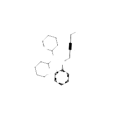 C1CCC(OC2CCCCO2)OC1.OCC#CCSc1ccccc1